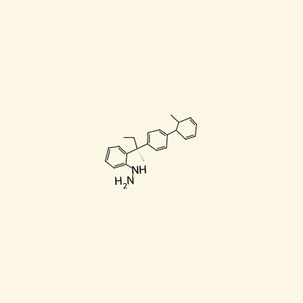 CC[C@@](C)(c1ccc(C2C=CC=CC2C)cc1)c1ccccc1NN